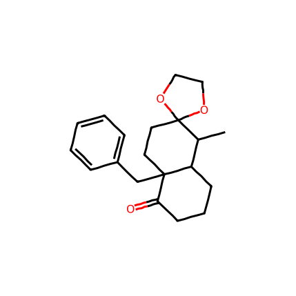 CC1C2CCCC(=O)C2(Cc2ccccc2)CCC12OCCO2